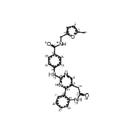 Cc1ccc(CNC(=O)c2ccc(Nc3ncc4c(n3)-c3ccccc3NC(=O)C4)cc2)o1